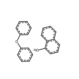 Oc1cccc2ccccc12.c1ccc(Oc2ccccc2)cc1